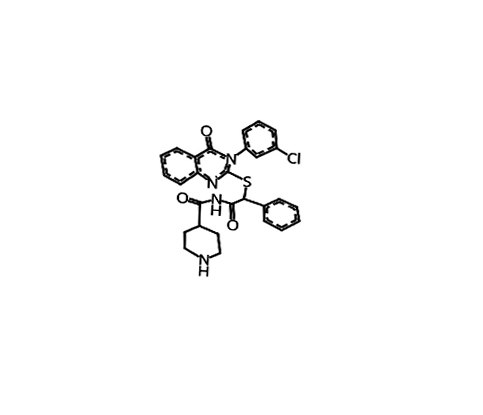 O=C(NC(=O)C(Sc1nc2ccccc2c(=O)n1-c1cccc(Cl)c1)c1ccccc1)C1CCNCC1